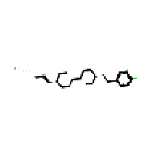 COCC=C[C@H]1CC[C@H]([C@H]2CC[C@H](CCc3ccc(Cl)c(F)c3)CC2)CC1